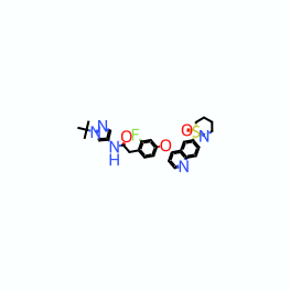 CC(C)(C)n1cc(NC(=O)Cc2ccc(Oc3ccnc4ccc(S5(=O)=NCCCC5)cc34)cc2F)cn1